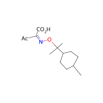 CC(=O)C(=NOC(C)(C)C1CCC(C)CC1)C(=O)O